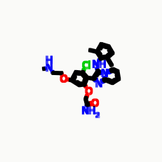 CNCCOc1cc(Cl)c(-c2nc3ccccn3c2Nc2c(C)cccc2C)c(OCC(N)=O)c1